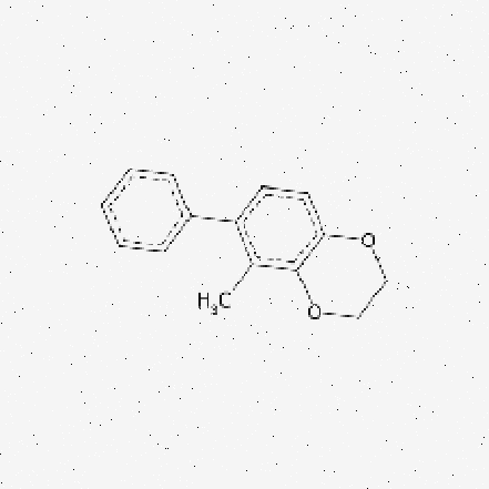 Cc1c(-c2ccccc2)ccc2c1OCCO2